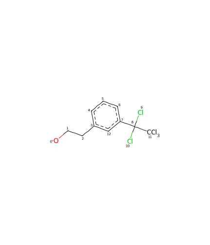 [O]CCc1cccc(C(Cl)(Cl)C(Cl)(Cl)Cl)c1